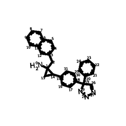 NC1(Cc2ccc3ccccc3c2)CC1c1ccc(C2(c3ccccc3)C=NN=N2)cc1